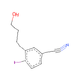 N#Cc1ccc(I)c(CCCO)c1